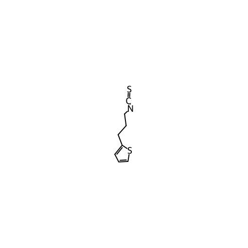 S=C=NCCCc1cccs1